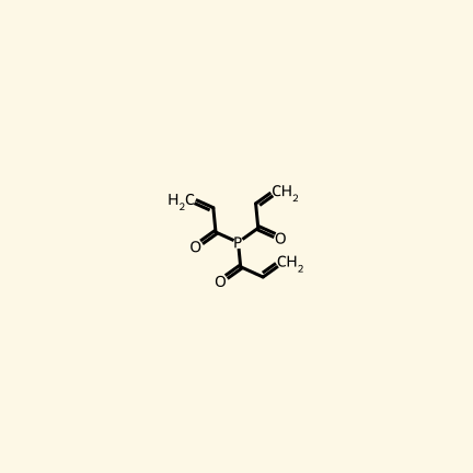 C=CC(=O)P(C(=O)C=C)C(=O)C=C